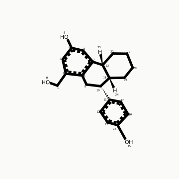 OCc1cc(O)cc2c1C[C@@H](c1ccc(O)cc1)[C@H]1CCCC[C@@H]21